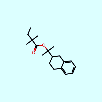 CCC(C)(C)C(=O)OC(C)(C)C1CCc2ccccc2C1